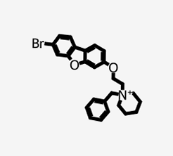 Brc1ccc2c(c1)oc1cc(OCC[N+]3(Cc4ccccc4)CCCCC3)ccc12